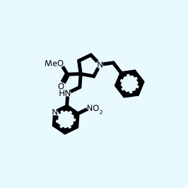 COC(=O)C1(CNc2ncccc2[N+](=O)[O-])CCN(Cc2ccccc2)C1